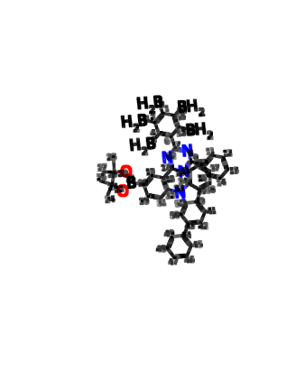 Bc1c(B)c(B)c(-c2nc(-c3ccccc3)nc(-c3cc(B4OC(C)(C)C(C)(C)O4)ccc3-n3c4ccccc4c4ccc(-c5ccccc5)cc43)n2)c(B)c1B